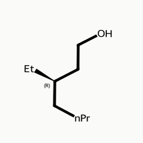 CCCC[C@@H](CC)CCO